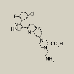 NCCN1CCN(c2cnc3ccc(-c4c[nH]nc4-c4cc(Cl)ccc4F)nc3c2)C[C@@H]1C(=O)O